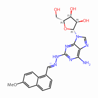 COc1ccc2c(/C=N/Nc3nc(N)c4ncn([C@@H]5O[C@H](CO)[C@@H](O)[C@H]5O)c4n3)cccc2c1